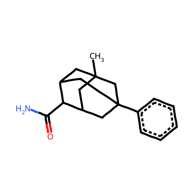 CC12CC3CC(c4ccccc4)(CC(C1)C3C(N)=O)C2